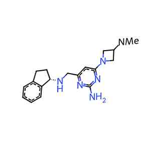 CNC1CN(c2cc(CN[C@H]3CCc4ccccc43)nc(N)n2)C1